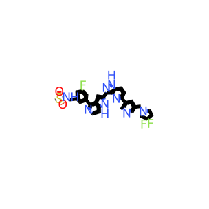 CS(=O)(=O)NCc1cc(F)cc(-c2nccc3[nH]c(-c4n[nH]c5ccc(-c6cncc(CN7CCC(F)(F)C7)c6)nc45)cc23)c1